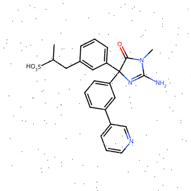 CC(Cc1cccc(C2(c3cccc(-c4cccnc4)c3)N=C(N)N(C)C2=O)c1)S(=O)(=O)O